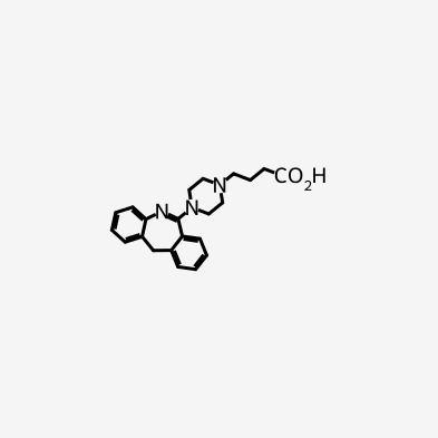 O=C(O)CCCN1CCN(C2=Nc3ccccc3Cc3ccccc32)CC1